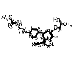 CC(=O)NCCNc1ccc(-c2cc(OC[C@@H](C)O)cn3ncc(C#N)c23)cn1